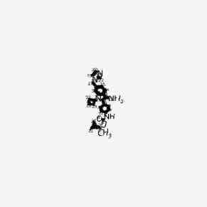 CC(OC(=O)Nc1ccc(-c2c(N)c3ccc(Cn4ccnc4)cc3n2C2CCC2)cc1)C1CC1